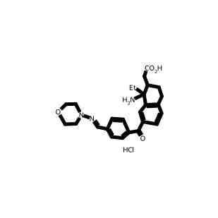 CCC1(N)c2cc(C(=O)c3ccc(C=NN4CCOCC4)cc3)ccc2CCC1CC(=O)O.Cl